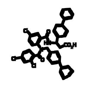 O=C(O)CC(NC(=O)c1cc(Cl)ccc1N(Cc1ccc(-c2ccccc2)cc1)C(=O)c1ccc(Cl)cc1Cl)c1ccc(-c2ccccc2)cc1